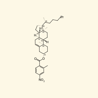 Cc1cc([N+](=O)[O-])ccc1C(=O)O[C@H]1CC[C@@]2(C)C(=CC[C@H]3[C@@H]4CC[C@H]([C@H](C)CCCC(C)C)[C@@]4(C)CC[C@@H]32)C1